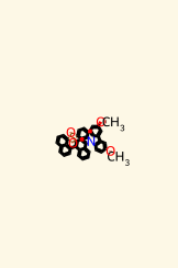 COc1ccc2c(c1)c1cc(OC)ccc1n2-c1ccc(-c2cccc3cccc(S(=O)(=O)c4ccccc4)c23)c2ccccc12